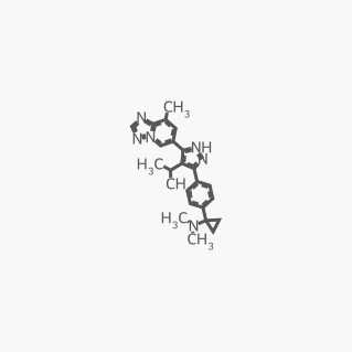 Cc1cc(-c2[nH]nc(-c3ccc(C4(N(C)C)CC4)cc3)c2C(C)C)cn2ncnc12